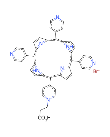 O=C(O)CC[n+]1ccc(-c2c3nc(c(-c4ccncc4)c4ccc([nH]4)c(-c4ccncc4)c4nc(c(-c5ccncc5)c5ccc2[nH]5)C=C4)C=C3)cc1.[Br-]